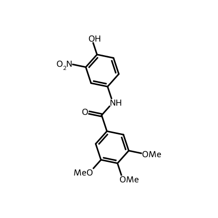 COc1cc(C(=O)Nc2ccc(O)c([N+](=O)[O-])c2)cc(OC)c1OC